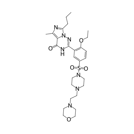 CCCc1nc(C)c2c(=O)[nH]c(-c3cc(S(=O)(=O)N4CCN(CCN5CCOCC5)CC4)ccc3OCC)nn12